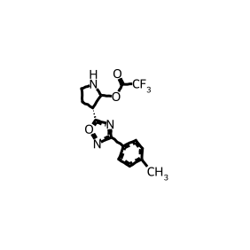 Cc1ccc(-c2noc([C@@H]3CCNC3OC(=O)C(F)(F)F)n2)cc1